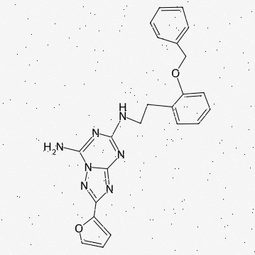 Nc1nc(NCCc2ccccc2OCc2ccccc2)nc2nc(-c3ccco3)nn12